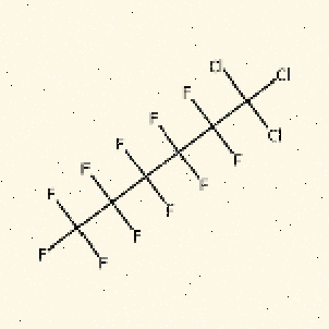 FC(F)(F)C(F)(F)C(F)(F)C(F)(F)C(F)(F)C(Cl)(Cl)Cl